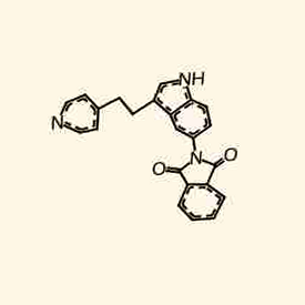 O=C1c2ccccc2C(=O)N1c1ccc2[nH]cc(CCc3ccncc3)c2c1